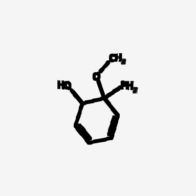 COC1(P)C=CC=CC1O